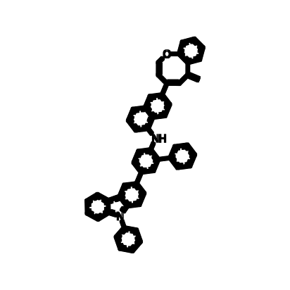 C=C1/C=C(c2ccc3c(Nc4ccc(-c5ccc6c(c5)c5ccccc5n6-c5ccccc5)cc4-c4ccccc4)cccc3c2)\C=C/Oc2ccccc21